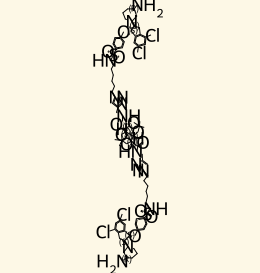 CC1(C)O[C@H]2[C@@H](OC(C)(C)O[C@H]2C(=O)NCc2cn(CCCCCCNS(=O)(=O)c3ccc(O[C@H]4c5cc(Cl)cc(Cl)c5C[C@@H]4N4CCC[C@@H](N)C4)cc3)nn2)[C@@H](C(=O)NCc2cn(CCCCCCNS(=O)(=O)c3ccc(O[C@H]4c5cc(Cl)cc(Cl)c5C[C@@H]4N4CCC[C@@H](N)C4)cc3)nn2)O1